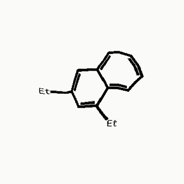 CCc1cc(CC)c2ccccc2c1